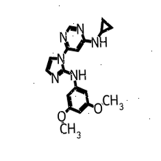 COc1cc(Nc2nccn2-c2cc(NC3CC3)ncn2)cc(OC)c1